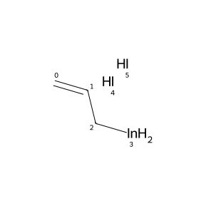 C=C[CH2][InH2].I.I